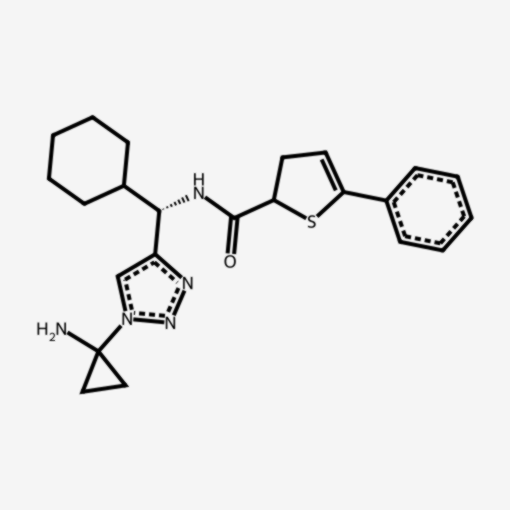 NC1(n2cc([C@@H](NC(=O)C3CC=C(c4ccccc4)S3)C3CCCCC3)nn2)CC1